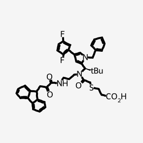 CC(C)(C)[C@H](c1cc(-c2cc(F)ccc2F)cn1Cc1ccccc1)N(CCCNC(=O)C(=O)CC1c2ccccc2-c2ccccc21)C(=O)CSCCC(=O)O